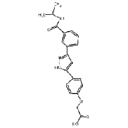 CC(C)NC(=O)c1cccc(-c2cc(-c3ccc(OCC(=O)O)cc3)[nH]n2)c1